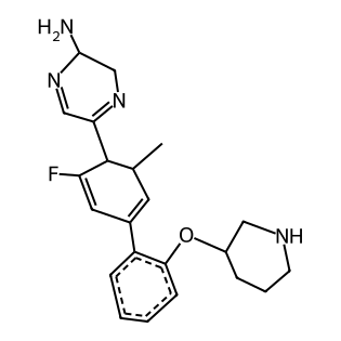 CC1C=C(c2ccccc2OC2CCCNC2)C=C(F)C1C1=NCC(N)N=C1